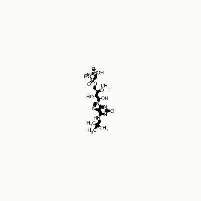 CO[C@H](COP(=O)(O)CP(=O)(O)O)[C@@H](O)[C@@H](O)n1cnc2c(NCC(C)(C)C)nc(Cl)nc21